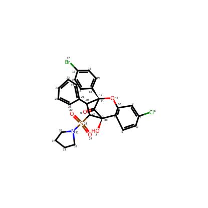 O=C1[C@]2(O)c3ccc(Cl)cc3O[C@@]1(c1ccc(Br)cc1)C(c1ccccc1)C2S(=O)(=O)N1CCCC1